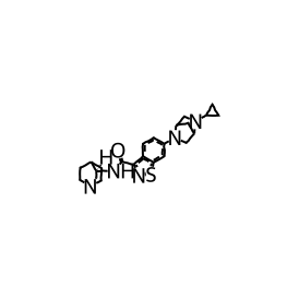 O=C(N[C@H]1CN2CCC1CC2)c1nsc2cc(N3CC4CC3CN4C3CC3)ccc12